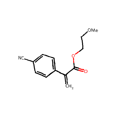 C=C(C(=O)OCCOC)c1ccc(C#N)cc1